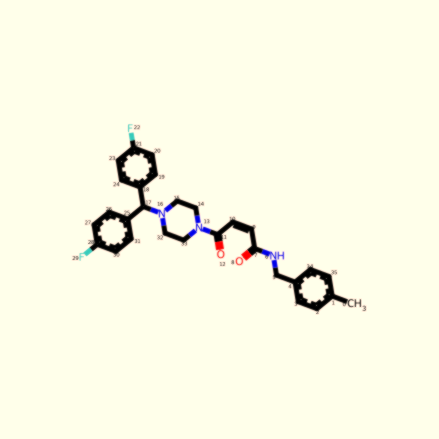 Cc1ccc(CNC(=O)/C=C\C(=O)N2CCN(C(c3ccc(F)cc3)c3ccc(F)cc3)CC2)cc1